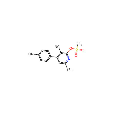 CC(C)(C)c1cc(-c2ccc(N=O)cc2)c(C#N)c(OS(=O)(=O)C(F)(F)F)n1